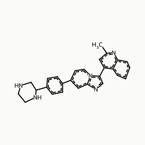 Cc1cc(-c2cnc3cc(-c4ccc(C5CNCCN5)cc4)ccn23)c2ccccc2n1